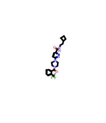 O=C(NCCC1CCC1)c1ccc(N2CCN(C(=O)c3ccccc3C(F)(F)F)CC2)nn1